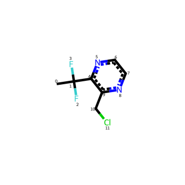 CC(F)(F)c1nccnc1CCl